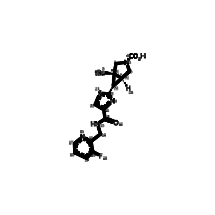 CC(C)(C)[C@@]12CN(C(=O)O)C[C@H]1[C@@H]2c1nc(C(=O)NCc2ncccc2F)cs1